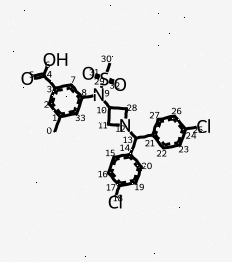 Cc1cc(C(=O)O)cc(N(C2CN(C(c3ccc(Cl)cc3)c3ccc(Cl)cc3)C2)S(C)(=O)=O)c1